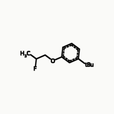 CC(F)COc1cccc(C(C)(C)C)c1